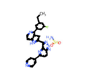 CCc1cc(F)cc(-c2nccc3[nH]c(-c4n[nH]c5ccc(-c6ccncc6)nc45)cc23)c1.N[SH](=O)=O